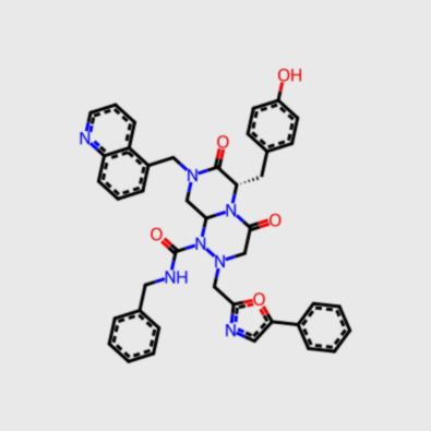 O=C1[C@H](Cc2ccc(O)cc2)N2C(=O)CN(Cc3ncc(-c4ccccc4)o3)N(C(=O)NCc3ccccc3)C2CN1Cc1cccc2ncccc12